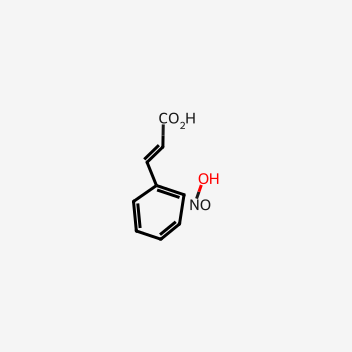 O=C(O)C=Cc1ccccc1.O=NO